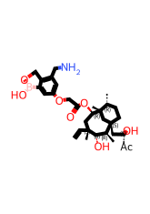 C=C[C@]1(C)C[C@@H](OC(=O)COc2cc(CN)c3c(c2)B(O)OC3)[C@@]2(C)C[C@](C[C@H](O)C(C)=O)(CC[C@H]2C)[C@@H](C)[C@@H]1O